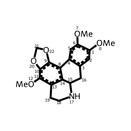 COc1cc2c(cc1OC)-c1c3c(c(OC)c4c1C(C2)NCC4)OCO3